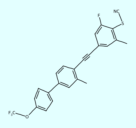 Cc1cc(-c2ccc(OC(F)(F)F)cc2)ccc1C#Cc1cc(C)c(SC#N)c(F)c1